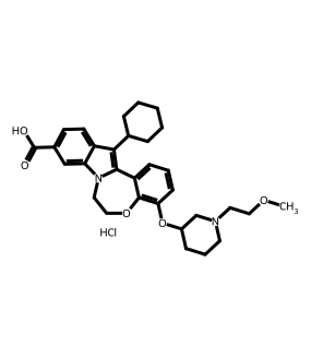 COCCN1CCCC(Oc2cccc3c2OCCn2c-3c(C3CCCCC3)c3ccc(C(=O)O)cc32)C1.Cl